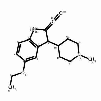 CCOc1ccc2c(c1)C(C1CCN(C)CC1)C(=C=O)N2